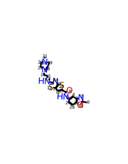 Cc1nc2cc(NC(=O)c3cc4sc(NCCN5CCN(C)CC5)nc4s3)ccc2o1